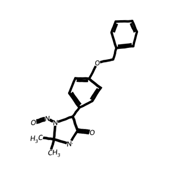 CC1(C)[N]C(=O)C(c2ccc(OCc3ccccc3)cc2)N1N=O